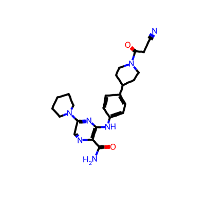 N#CCC(=O)N1CCC(c2ccc(Nc3nc(N4CCCCC4)cnc3C(N)=O)cc2)CC1